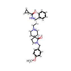 COc1ccc(CN2CCC3(CCN(CC[C@H](NC(=O)C4CC4)c4ccccc4)CC3)C2=O)cc1